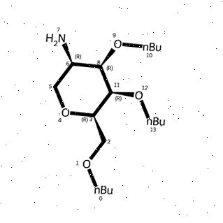 CCCCOC[C@H]1OC[C@@H](N)[C@@H](OCCCC)[C@H]1OCCCC